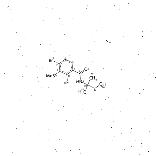 CSc1c(Br)ccc(C(=O)NC(C)(C)CO)c1F